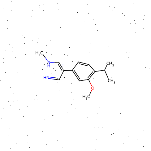 CN/C=C(\C=N)c1ccc(C(C)C)c(OC)c1